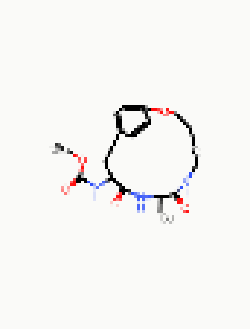 CCC(C)C1NC(=O)C(NC(=O)OC(C)(C)C)Cc2ccc(cc2)OCCCCNC1=O